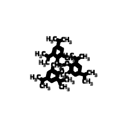 Cc1cc(C(C)C)cc(C(C)C)c1OP(Oc1c(C)cc(C(C)C)cc1C(C)C)Oc1c(C)cc(C(C)C)cc1C(C)C